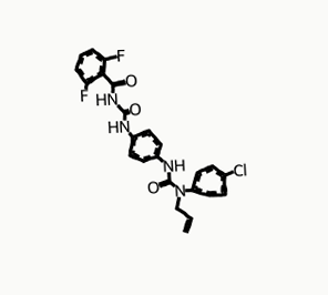 C=CCN(C(=O)Nc1ccc(NC(=O)NC(=O)c2c(F)cccc2F)cc1)c1ccc(Cl)cc1